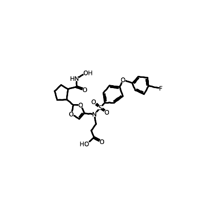 O=C(O)CCN(C1=COC(C2CCCC2C(=O)NO)O1)S(=O)(=O)c1ccc(Oc2ccc(F)cc2)cc1